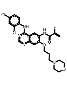 C=C(F)C(=O)Nc1cc2c(Nc3ccc(Cl)cc3Cl)ncnc2cc1OCCCN1CCOCC1